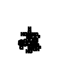 O=C(C(Cc1ccccc1Cl)c1cc(O)c(O)c([N+](=O)[O-])c1)C(Cc1ccccc1Cl)c1cc(O)c(O)c([N+](=O)[O-])c1